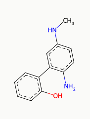 CNc1ccc(N)c(-c2ccccc2O)c1